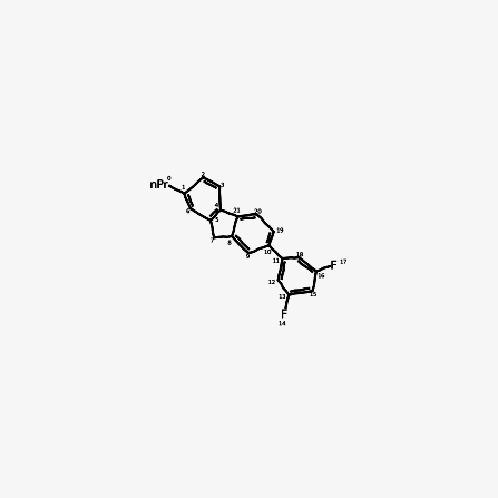 CCCc1ccc2c(c1)Cc1cc(-c3cc(F)cc(F)c3)ccc1-2